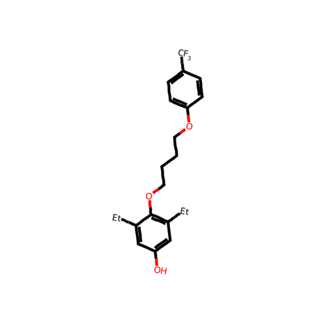 CCc1cc(O)cc(CC)c1OCCCCOc1ccc(C(F)(F)F)cc1